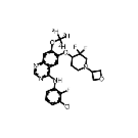 [2H]C([2H])([2H])Oc1cc2ncnc(Nc3cccc(Cl)c3F)c2cc1OC1CCN(C2COC2)CC1(F)F